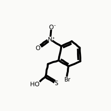 O=[N+]([O-])c1cccc(Br)c1CC(O)=S